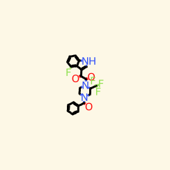 O=C(C(=O)N1CCN(C(=O)c2ccccc2)CC1C(F)(F)F)c1c[nH]c2cccc(F)c12